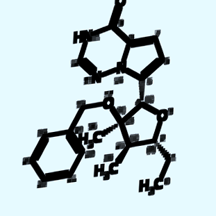 CC[C@H]1O[C@@H](c2ccc3c(=O)[nH]cnn23)[C@](C)(OCc2ccccc2)[C@@H]1C